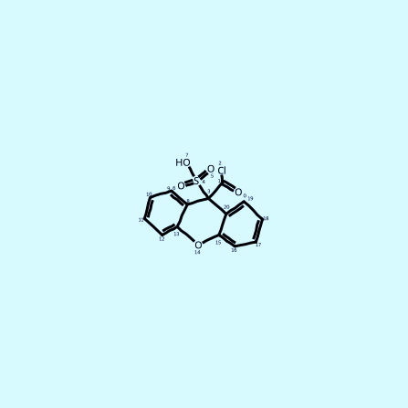 O=C(Cl)C1(S(=O)(=O)O)c2ccccc2Oc2ccccc21